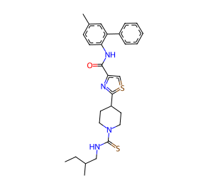 CCC(C)CNC(=S)N1CCC(c2nc(C(=O)Nc3ccc(C)cc3-c3ccccc3)cs2)CC1